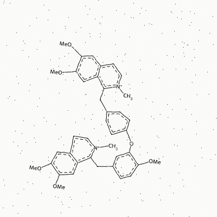 COc1cc2cc[n+](C)c(Cc3ccc(Oc4cc(Cc5c6cc(OC)c(OC)cc6cc[n+]5C)ccc4OC)cc3)c2cc1OC